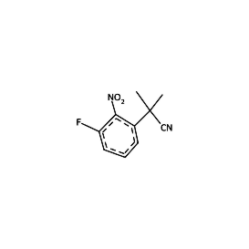 CC(C)(C#N)c1cccc(F)c1[N+](=O)[O-]